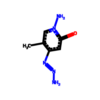 Cc1cn(N)c(=O)cc1N=NN